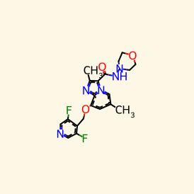 Cc1cc(OCc2c(F)cncc2F)c2nc(C)c(C(=O)NN3CCOCC3)n2c1